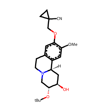 COc1cc2c(cc1OCC1(C#N)CC1)CCN1C[C@@H](OC(C)(C)C)[C@H](O)C[C@H]21